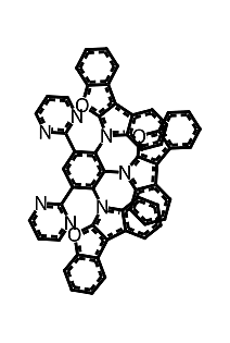 c1cnc(-c2cc(-c3ncccn3)c(-n3c4ccccc4c4c5ccccc5oc43)c(-n3c4ccccc4c4c5ccccc5oc43)c2-n2c3ccccc3c3c4ccccc4oc32)nc1